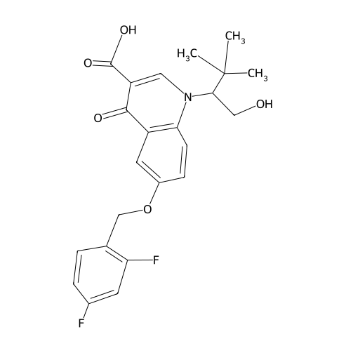 CC(C)(C)C(CO)n1cc(C(=O)O)c(=O)c2cc(OCc3ccc(F)cc3F)ccc21